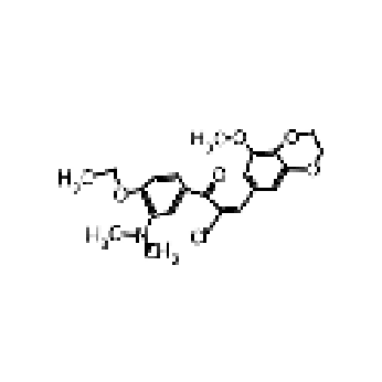 CCOc1ccc(C(=O)/C(Cl)=C\c2cc(OC)c3c(c2)OCCO3)cc1N(C)C